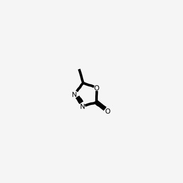 CC1N=NC(=O)O1